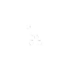 O=C(Cc1ccccc1)Nc1onc(-c2ccc(F)c(Br)c2)c1-c1ccncc1